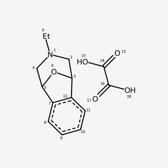 CCN1CC2OC(C1)c1ccccc12.O=C(O)C(=O)O